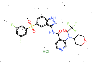 Cl.O=C(Nc1n[nH]c2ccc(S(=O)(=O)c3cc(F)cc(F)c3)cc12)c1ccncc1N(C(=O)C(F)(F)F)C1CCOCC1